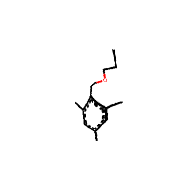 CCCOCc1c(C)cc(C)cc1C